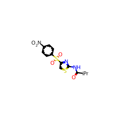 CC(C)C(=O)Nc1nc(S(=O)(=O)c2ccc([N+](=O)[O-])cc2)cs1